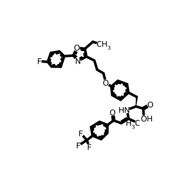 CCc1oc(-c2ccc(F)cc2)nc1CCCOc1ccc(C[C@H](N/C(C)=C\C(=O)c2ccc(C(F)(F)F)cc2)C(=O)O)cc1